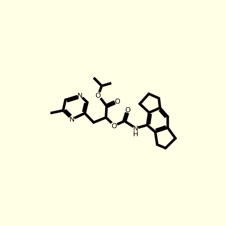 Cc1cncc(CC(OC(=O)Nc2c3c(cc4c2CCC4)CCC3)C(=O)OC(C)C)n1